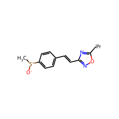 CC(C)c1nc(/C=C/c2ccc([S+](C)[O-])cc2)no1